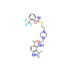 CC(C)c1ccc(N)c(C(C)C)c1NC(=O)CN1CCN(CCSc2nc3cccc(C(F)(F)F)c3o2)CC1